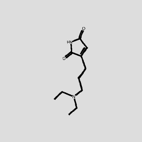 CCN(CC)CCCC1=CC(=O)NC1=O